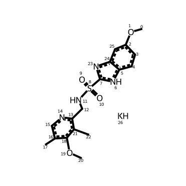 COc1ccc2[nH]c(S(=O)(=O)NCc3ncc(C)c(OC)c3C)nc2c1.[KH]